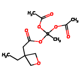 CCC1(CC(=O)O[Si](C)(OC(C)=O)OC(C)=O)COC1